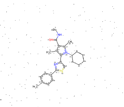 CCCCNC(=O)c1c(C)c(-c2csc(-c3ccc(C)cc3)n2)n(C2CCCCC2)c1C